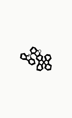 c1ccc2c(c1)-c1ccccc1C21c2ccccc2-c2cc3c(cc21)oc1cccc(-n2c4ccccc4c4ccccc42)c13